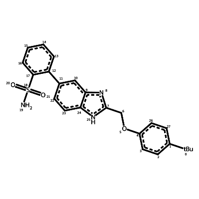 CC(C)(C)c1ccc(OCc2nc3cc(-c4ccccc4S(N)(=O)=O)ccc3[nH]2)cc1